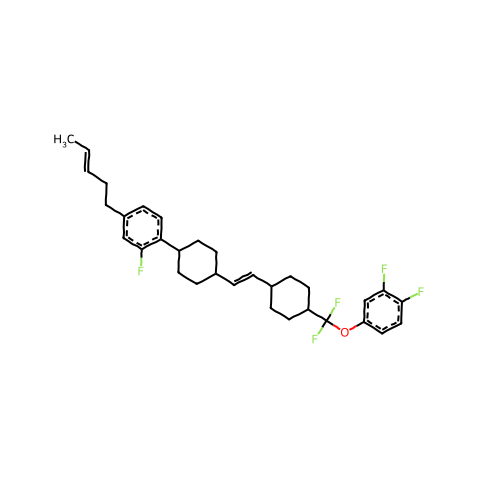 C/C=C/CCc1ccc(C2CCC(/C=C/C3CCC(C(F)(F)Oc4ccc(F)c(F)c4)CC3)CC2)c(F)c1